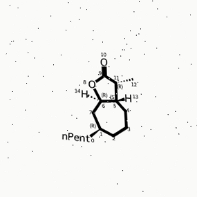 CCCCC[C@@H]1CCC[C@@H]2[C@@H](C1)OC(=O)[C@@H]2C